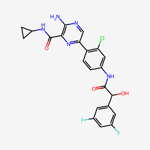 Nc1ncc(-c2ccc(NC(=O)C(O)c3cc(F)cc(F)c3)cc2Cl)nc1C(=O)NC1CC1